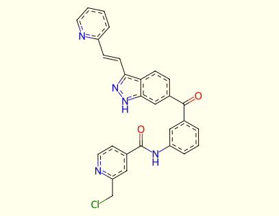 O=C(Nc1cccc(C(=O)c2ccc3c(/C=C/c4ccccn4)n[nH]c3c2)c1)c1ccnc(CCl)c1